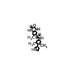 Cc1cc2[nH]c(=O)c(=O)[nH]c2cc1S(=O)(=O)Nc1cc(C)c(-c2cc[nH]c2)c(C)c1